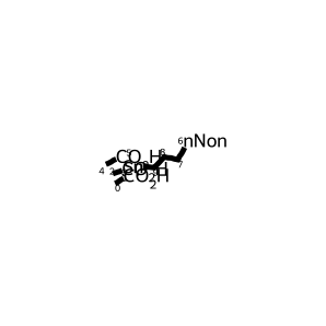 CC(=O)O.CC(=O)O.CC(=O)O.CCCCCCCCCCC[CH2][Sn]